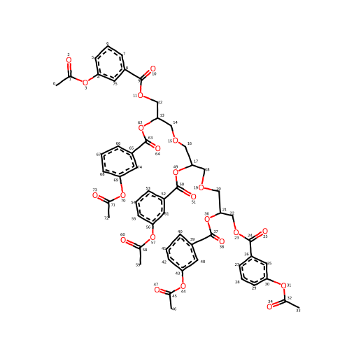 CC(=O)Oc1cccc(C(=O)OCC(COCC(COCC(COC(=O)c2cccc(OC(C)=O)c2)OC(=O)c2cccc(OC(C)=O)c2)OC(=O)c2cccc(OC(C)=O)c2)OC(=O)c2cccc(OC(C)=O)c2)c1